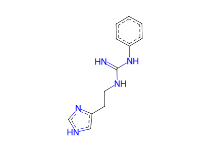 N=C(NCCc1c[nH]cn1)Nc1ccccc1